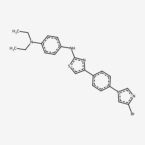 CCN(CC)c1ccc(Nc2nc(-c3ccc(-n4cnc(Br)c4)cc3)cs2)cc1